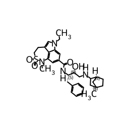 CCn1cc2c3c(cc(C(=O)N[C@@H](Cc4ccccc4)[C@H](O)CNC4C[C@]5(C)CC[C@H]4C5)cc31)N(C)S(=O)(=O)CC2